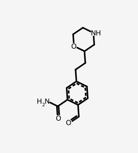 NC(=O)c1cc(CCC2CNCCO2)ccc1C=O